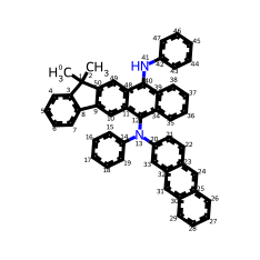 CC1(C)c2ccccc2-c2cc3c(N(c4ccccc4)c4ccc5cc6ccccc6cc5c4)c4ccccc4c(Nc4ccccc4)c3cc21